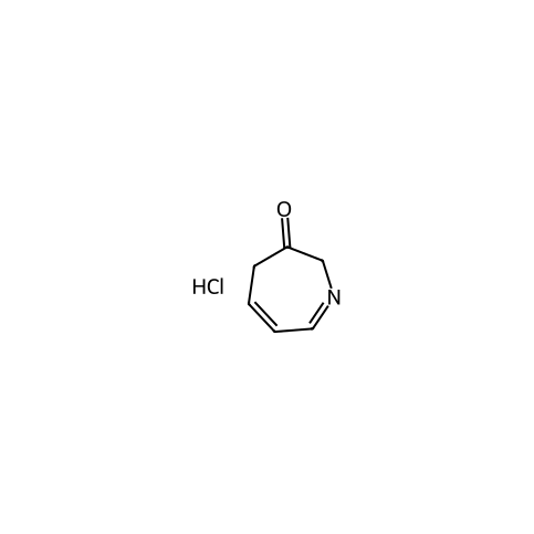 Cl.O=C1CC=CC=NC1